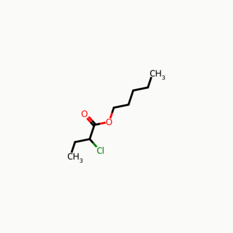 CCCCCOC(=O)C(Cl)CC